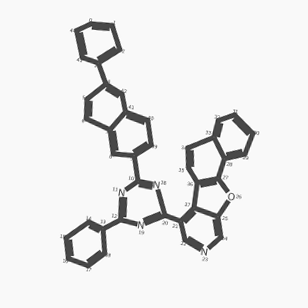 c1ccc(-c2ccc3cc(-c4nc(-c5ccccc5)nc(-c5cncc6oc7c8ccccc8ccc7c56)n4)ccc3c2)cc1